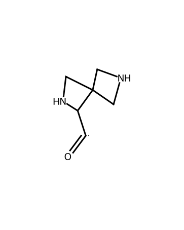 O=[C]C1NCC12CNC2